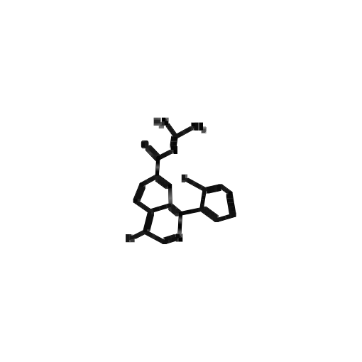 CCc1cnc(-c2ccccc2F)c2cc(C(=O)N=C(N)N)ccc12